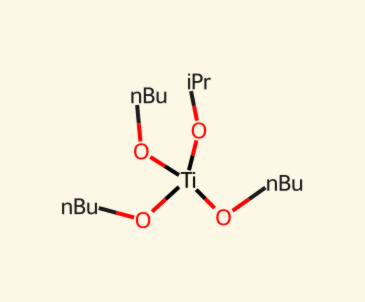 CCCC[O][Ti]([O]CCCC)([O]CCCC)[O]C(C)C